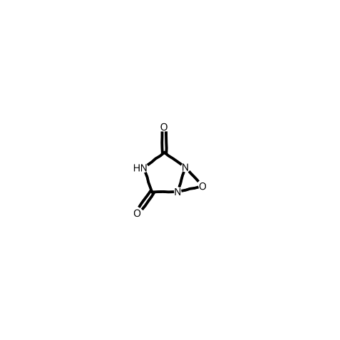 O=c1[nH]c(=O)n2on12